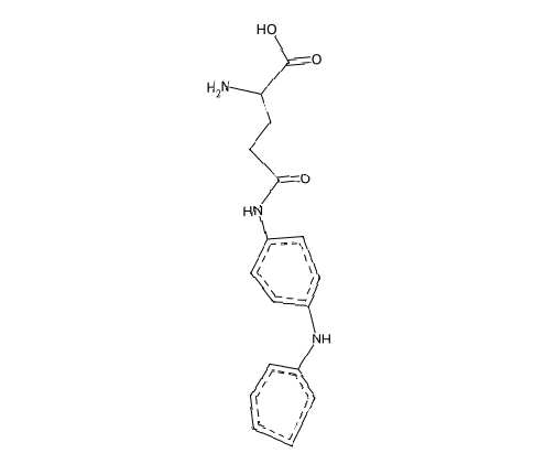 NC(CCC(=O)Nc1ccc(Nc2ccccc2)cc1)C(=O)O